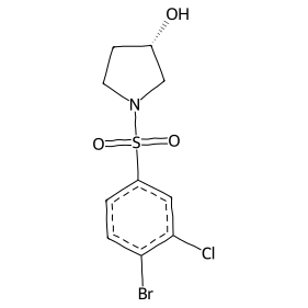 O=S(=O)(c1ccc(Br)c(Cl)c1)N1CC[C@H](O)C1